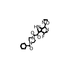 O=C(C(=O)N1CCN(C(=O)c2ccccc2)CC1)c1c[nH]c2c(-c3ncco3)ncc(F)c12